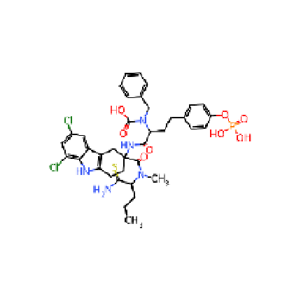 CCCC(C(N)=S)N(C)C(=O)C1(NC(=O)[C@H](CCc2ccc(OP(=O)(O)O)cc2)N(Cc2ccccc2)C(=O)O)CCc2[nH]c3c(Cl)cc(Cl)cc3c2C1